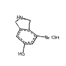 Cl.Oc1cc(Br)c2c(c1)CNC2